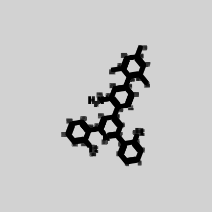 CCc1ccccc1-c1cc(-c2ccc(-c3c(C)cc(C)cc3C)cc2N)cc(-c2ccccc2CC)n1